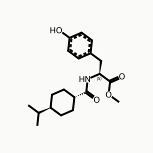 COC(=O)[C@H](Cc1ccc(O)cc1)NC(=O)[C@H]1CC[C@H](C(C)C)CC1